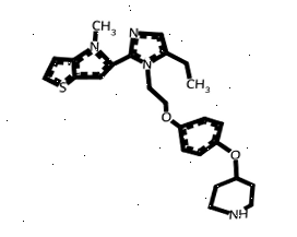 CCc1cnc(-c2cc3sccc3n2C)n1CCOc1ccc(OC2CCNCC2)cc1